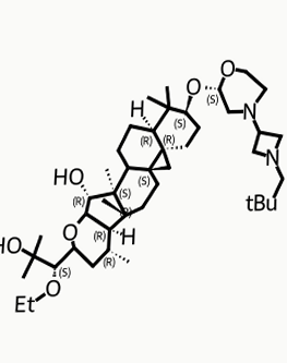 CCO[C@@H](C1C[C@@H](C)[C@H]2C(O1)[C@H](O)[C@@]1(C)C3CC[C@H]4C(C)(C)[C@@H](O[C@H]5CN(C6CN(CC(C)(C)C)C6)CCO5)CC[C@@]45C[C@@]35CC[C@]21C)C(C)(C)O